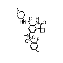 CN1CCC(NC(=O)c2cc(N(C)S(=O)(=O)c3ccc(F)cc3F)cc3c2NC(=O)C32CCC2)CC1